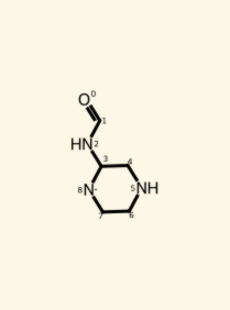 O=CNC1CNCC[N]1